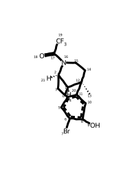 C[C@H]1[C@H]2Cc3cc(Br)c(O)cc3[C@]1(C)CCN2C(=O)C(F)(F)F